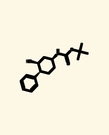 CC(C)(C)OC(=O)N[C@H]1CC[C@H](c2ccccc2)[C@@H](O)C1